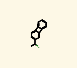 CC(Cl)c1ccc2c(c1)-c1ccccc1-2